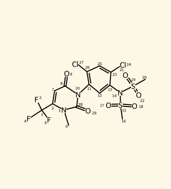 Cn1c(C(F)(F)F)cc(=O)n(-c2cc(N(S(C)(=O)=O)S(C)(=O)=O)c(Cl)cc2Cl)c1=O